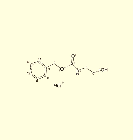 Cl.O=C(NCCO)OCc1ccccc1